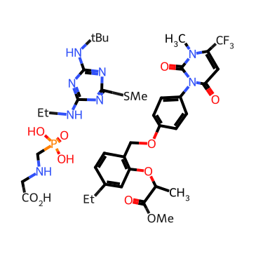 CCNc1nc(NC(C)(C)C)nc(SC)n1.CCc1ccc(COc2ccc(-n3c(=O)cc(C(F)(F)F)n(C)c3=O)cc2)c(OC(C)C(=O)OC)c1.O=C(O)CNCP(=O)(O)O